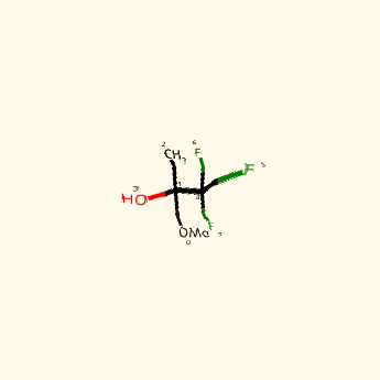 COC(C)(O)C(F)(F)F